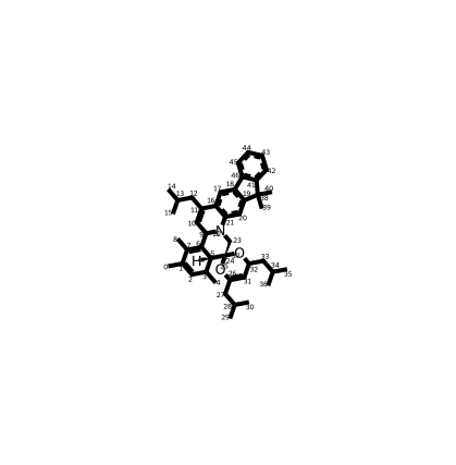 CC1=CC(C)[C@@H]2C(=C1C)C1C=C(CC(C)C)c3cc4c(cc3N1C[C@@]21OC(CC(C)C)=CC(CC(C)C)O1)C(C)(C)c1ccccc1-4